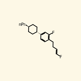 CCC[C@H]1CC[C@H](c2ccc(CC/C=C/F)c(F)c2)CC1